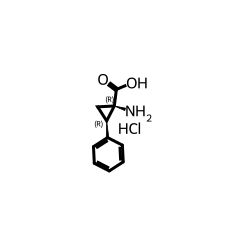 Cl.N[C@]1(C(=O)O)C[C@@H]1c1ccccc1